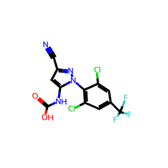 N#Cc1cc(NC(=O)O)n(-c2c(Cl)cc(C(F)(F)F)cc2Cl)n1